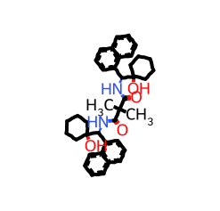 CC(C)(C(=O)N[C@@H](c1cccc2ccccc12)C1(O)CCCCC1)C(=O)N[C@@H](c1cccc2ccccc12)C1(O)CCCCC1